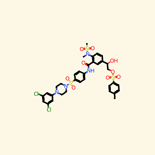 Cc1ccc(S(=O)(=O)OC[C@H](O)c2ccc(N(C)S(C)(=O)=O)c(C(=O)Nc3ccc(S(=O)(=O)N4CCN(c5cc(Cl)cc(Cl)c5)CC4)cc3)c2)cc1